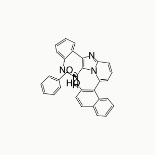 O=[N+]([O-])c1ccccc1-c1nc2cccc(-c3c(O)ccc4ccccc34)n2c1NCc1ccccc1